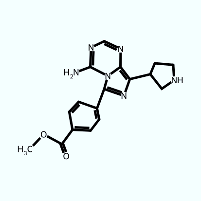 COC(=O)c1ccc(-c2nc(C3CCNC3)c3ncnc(N)n23)cc1